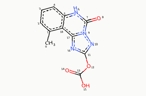 Cc1cccc2[nH]c(=O)n3nc(OC(=O)O)nc3c12